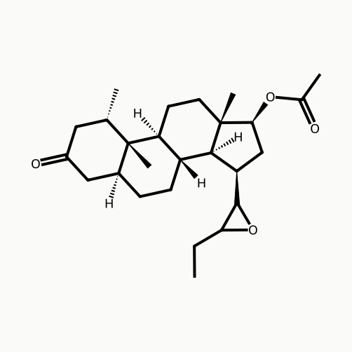 CCC1OC1[C@@H]1C[C@H](OC(C)=O)[C@@]2(C)CC[C@H]3[C@@H](CC[C@H]4CC(=O)C[C@H](C)[C@@]43C)[C@H]12